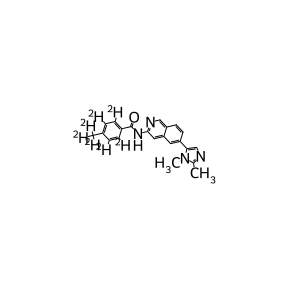 [2H]c1c([2H])c(C([2H])([2H])[2H])c([2H])c([2H])c1C(=O)Nc1cc2cc(-c3cnc(C)n3C)ccc2cn1